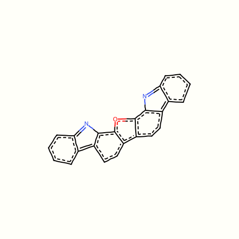 c1ccc2c(c1)=Nc1c=2ccc2c1oc1c3c(ccc12)=c1ccccc1=N3